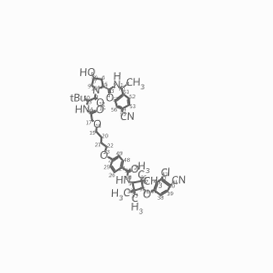 C[C@H](NC(=O)[C@@H]1C[C@@H](O)CN1C(=O)C(NC(=O)COCCCCOc1ccc(C(=O)N[C@H]2C(C)(C)[C@H](Oc3ccc(C#N)c(Cl)c3)C2(C)C)cc1)C(C)(C)C)c1ccc(C#N)cc1